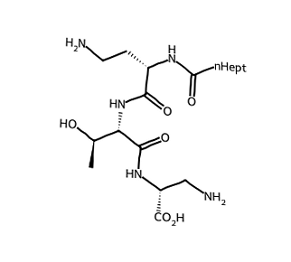 CCCCCCCC(=O)N[C@@H](CCN)C(=O)N[C@H](C(=O)N[C@H](CN)C(=O)O)[C@@H](C)O